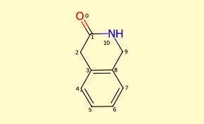 O=C1Cc2[c]cccc2CN1